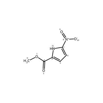 COC(=O)c1ccc([N+](=O)[O-])[nH]1